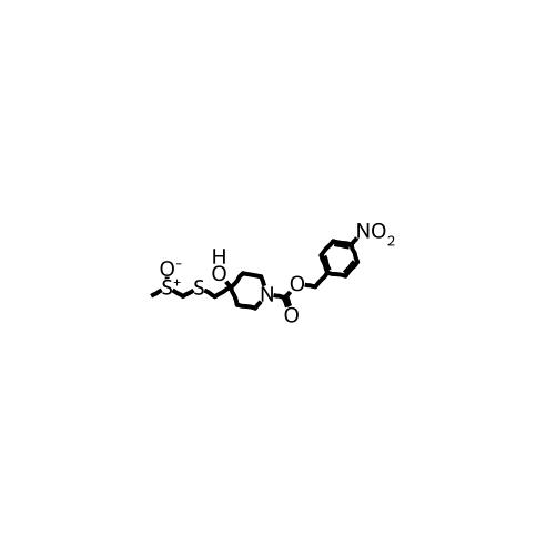 C[S+]([O-])CSCC1(O)CCN(C(=O)OCc2ccc([N+](=O)[O-])cc2)CC1